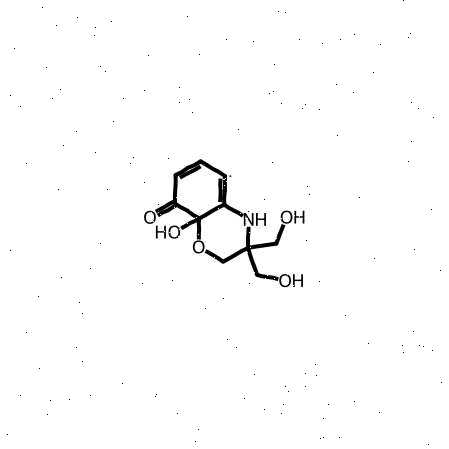 O=C1C=C[C]=C2NC(CO)(CO)COC12O